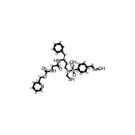 CC(C)CN(C[C@@H](O)[C@H](Cc1ccccc1)NC(=O)CNC(=O)OCc1ccccn1)S(=O)(=O)c1ccc(C=NO)cc1